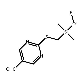 CCO[Si](C)(C)CSc1ncc(C=O)cn1